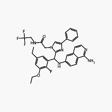 CCOc1cc(CC)cc(C(Nc2ccc3c(N)nccc3c2)c2nc(-c3ccccc3)cn2CC(=O)NCC(F)(F)F)c1F